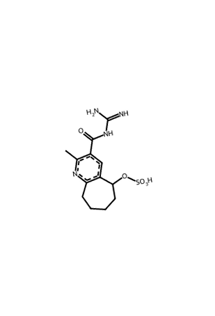 Cc1nc2c(cc1C(=O)NC(=N)N)C(OS(=O)(=O)O)CCCC2